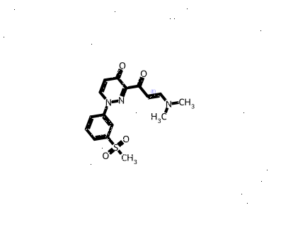 CN(C)/C=C/C(=O)c1nn(-c2cccc(S(C)(=O)=O)c2)ccc1=O